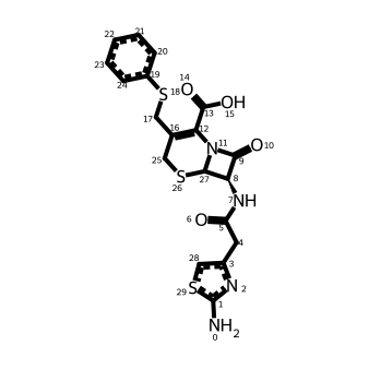 Nc1nc(CC(=O)N[C@@H]2C(=O)N3C(C(=O)O)=C(CSc4ccccc4)CSC23)cs1